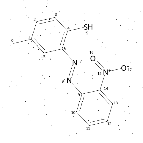 Cc1ccc(S)c(N=Nc2ccccc2[N+](=O)[O-])c1